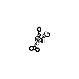 O=C(NC(CO[C@H]1CCCCO1)C(=O)OCc1ccccc1)OCC1c2ccccc2-c2ccccc21